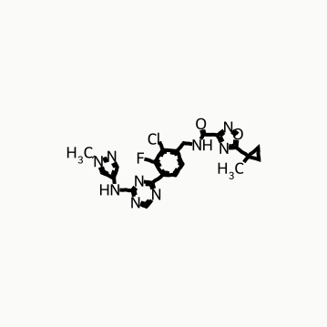 Cn1cc(Nc2ncnc(-c3ccc(CNC(=O)c4noc(C5(C)CC5)n4)c(Cl)c3F)n2)cn1